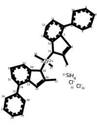 CC1=Cc2c(-c3ccccc3)cccc2[CH]1[Zr+2]([CH3])([CH3])[CH]1C(C)=Cc2c(-c3ccccc3)cccc21.[Cl-].[Cl-].[SiH4]